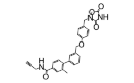 C#CCNC(=O)c1ccc(-c2cccc(COc3ccc(Cn4oc(=O)[nH]c4=O)cc3)c2)c(C)c1